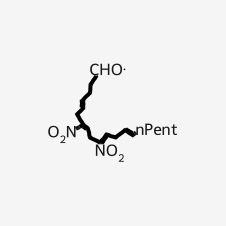 CCCCC/C=C/C/C=C(/C/C=C(/C/C=C/CCC[C]=O)[N+](=O)[O-])[N+](=O)[O-]